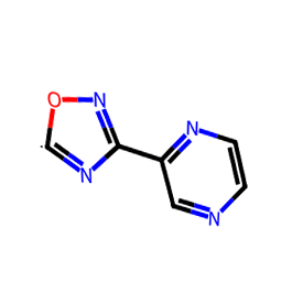 [c]1nc(-c2cnccn2)no1